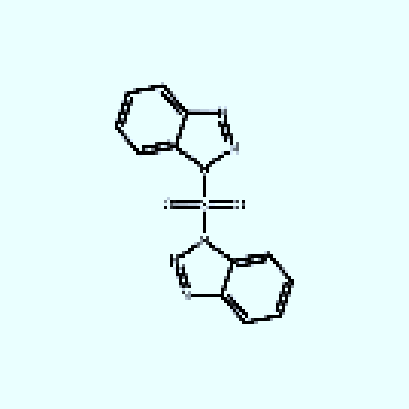 O=S(=O)(n1nnc2ccccc21)n1nnc2ccccc21